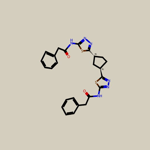 O=C(Cc1ccccc1)Nc1nnc([C@@H]2CC[C@@H](c3nnc(NC(=O)Cc4ccccc4)s3)C2)s1